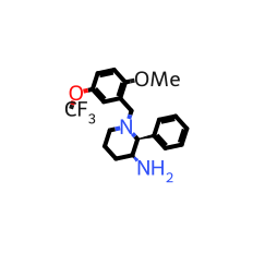 COc1ccc(OC(F)(F)F)cc1CN1CCC[C@H](N)[C@@H]1c1ccccc1